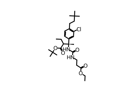 CCOC(=O)CCNC(=O)N[C@@](C)(c1ccc(CCC(C)(C)C)c(Cl)c1)C(CC)C(=O)OC(C)(C)C